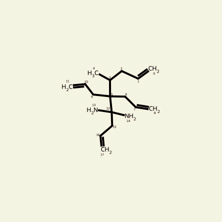 C=CCC(C)C(CC=C)(CC=C)C(N)(N)CC=C